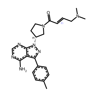 Cc1ccc(-c2nn([C@@H]3CCN(C(=O)/C=C/CN(C)C)C3)c3ncnc(N)c23)cc1